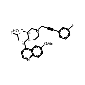 COc1ccc2nccc([C@H](CCF)[C@H]3CCN(CC#Cc4cccc(F)c4)C[C@@H]3C(=O)O)c2c1